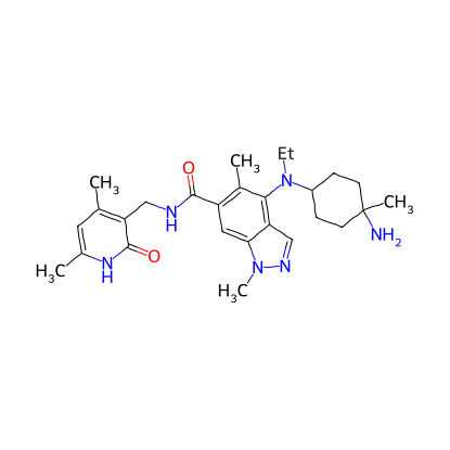 CCN(c1c(C)c(C(=O)NCc2c(C)cc(C)[nH]c2=O)cc2c1cnn2C)C1CCC(C)(N)CC1